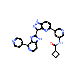 O=C(Nc1cncc(-c2ccc3[nH]nc(-c4nc5c(-c6ccncc6)nccc5[nH]4)c3n2)c1)C1CCC1